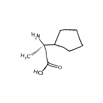 C[C@@](N)(C(=O)O)C1CCCC1